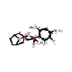 CCOC(=O)CCCN1C2CCC1CC(NC(=O)c1cc(Cl)c(NC(C)=O)cc1OC)C2